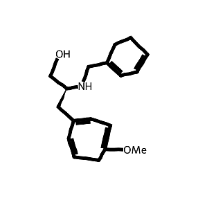 COC1=CC=C(C[C@@H](CO)NCC2=CC=CCC2)C=CC1